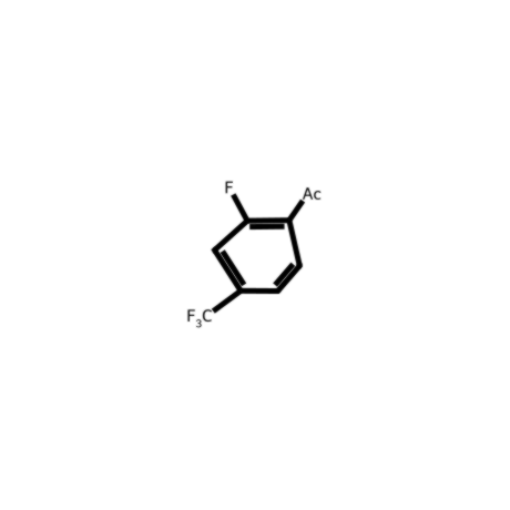 CC(=O)c1ccc(C(F)(F)F)cc1F